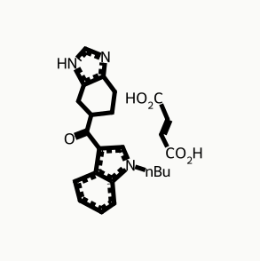 CCCCn1cc(C(=O)C2CCc3nc[nH]c3C2)c2ccccc21.O=C(O)C=CC(=O)O